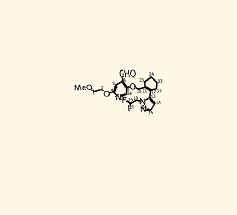 COCCOc1cc(C=O)c(OCC2=C(c3ccnn3CC(F)F)CCCC2)cn1